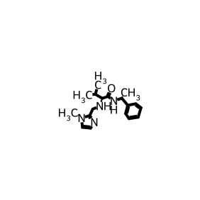 CC(C)[C@H](NCc1nccn1C)C(=O)N[C@H](C)c1ccccc1